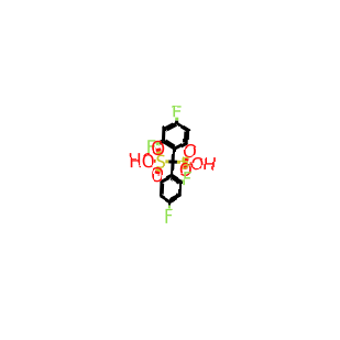 O=S(=O)(O)C(c1ccc(F)cc1F)(c1ccc(F)cc1F)S(=O)(=O)O